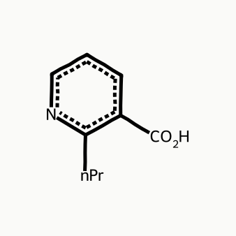 CCCc1ncccc1C(=O)O